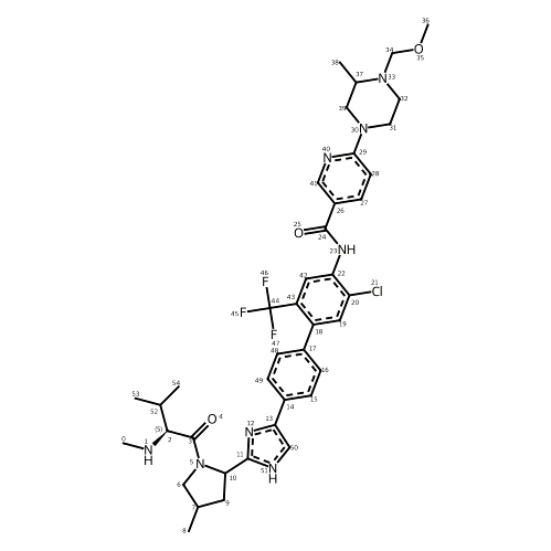 CN[C@H](C(=O)N1CC(C)CC1c1nc(-c2ccc(-c3cc(Cl)c(NC(=O)c4ccc(N5CCN(COC)C(C)C5)nc4)cc3C(F)(F)F)cc2)c[nH]1)C(C)C